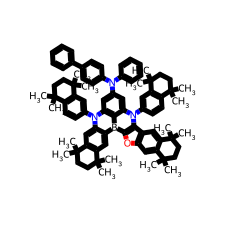 CC1(C)CCC(C)(C)c2cc(N3c4cc5c(cc4B4c6oc7cc8c(cc7c6N(c6ccc7c(c6)C(C)(C)CCC7(C)C)c6cc(N(c7ccccc7)c7ccc(-c9ccccc9)cc7)cc3c64)C(C)(C)CCC8(C)C)C(C)(C)CCC5(C)C)ccc21